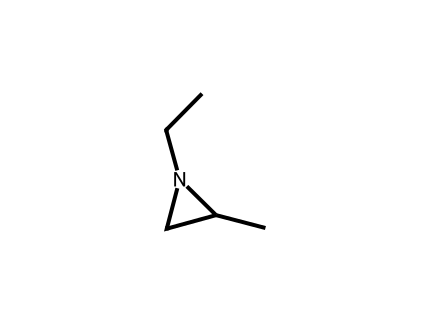 CCN1CC1C